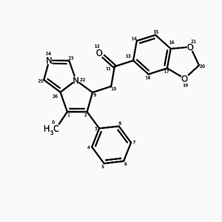 CC1=C(c2ccccc2)C(CC(=O)c2ccc3c(c2)OCO3)n2cncc21